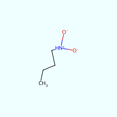 CCCC[NH+]([O-])[O-]